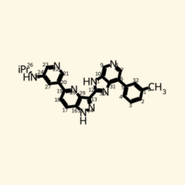 Cc1cccc(-c2cncc3[nH]c(-c4n[nH]c5ccc(-c6cncc(NC(C)C)c6)nc45)nc23)c1